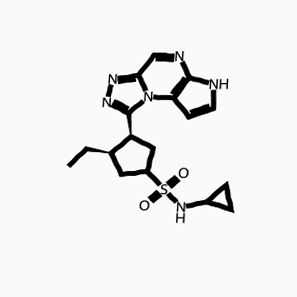 CC[C@@H]1CC(S(=O)(=O)NC2CC2)C[C@@H]1c1nnc2cnc3[nH]ccc3n12